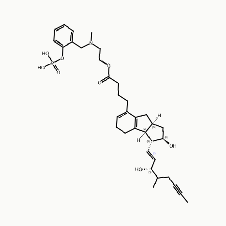 CC#CCC(C)[C@H](O)/C=C/[C@@H]1[C@H]2C3=C(C[C@H]2C[C@H]1O)C(CCCC(=O)OCCN(C)Cc1ccccc1OP(=O)(O)O)=CCC3